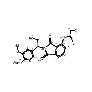 CCOc1cc([C@@H](CC(C)=O)N2C(=O)c3cccc(NC(=O)CCl)c3C2=O)ccc1OC